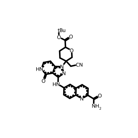 CC(C)(C)OC(=O)C1CCC(CC#N)(n2nc(Nc3ccc4nc(C(N)=O)ccc4c3)c3c(=O)[nH]ccc32)CO1